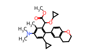 COC(=O)C(OC1CC1)c1c(C)c(N(C)C)cc(C2CC2)c1-c1ccc2c(c1)CCCO2